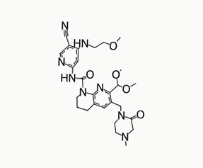 COCCNc1cc(NC(=O)N2CCCc3cc(CN4CCN(C)CC4=O)c(C(OC)OC)nc32)ncc1C#N